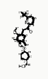 COc1c(CC(=O)c2cccc(C(C)(F)F)n2)cc2cn([C@H]3CC[C@H](CO)CC3)nc2c1C